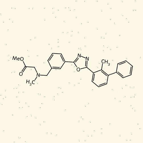 COC(=O)CN(C)Cc1cccc(-c2nnc(-c3cccc(-c4ccccc4)c3C)o2)c1